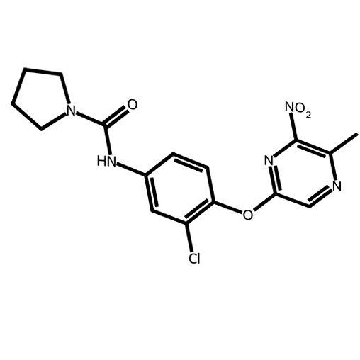 Cc1ncc(Oc2ccc(NC(=O)N3CCCC3)cc2Cl)nc1[N+](=O)[O-]